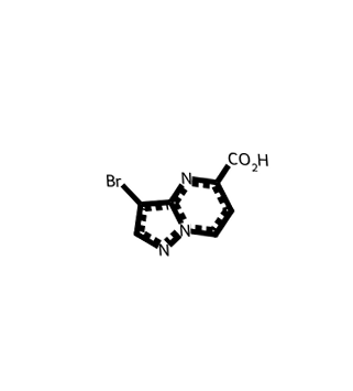 O=C(O)c1ccn2ncc(Br)c2n1